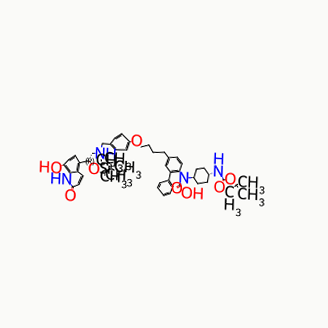 CC(C)(C)OC(=O)N[C@H]1CC[C@H](N(C(=O)O)c2ccc(CCCCOc3ccc(CNC[C@H](O[Si](C)(C)C(C)(C)C)c4ccc(O)c5[nH]c(=O)ccc45)cc3)cc2-c2ccccc2)CC1